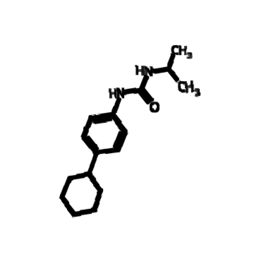 CC(C)NC(=O)Nc1ccc(C2CCCCC2)cc1